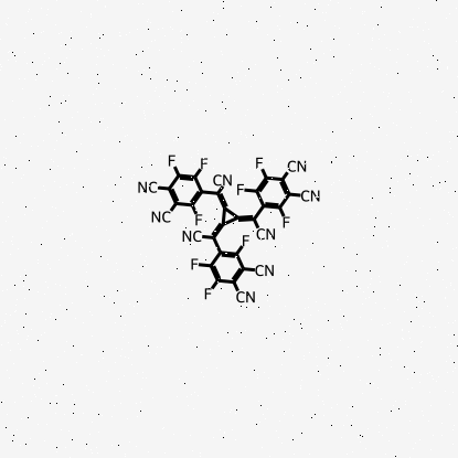 N#CC(=C1C(=C(C#N)c2c(F)c(F)c(C#N)c(C#N)c2F)C1=C(C#N)c1c(F)c(F)c(C#N)c(C#N)c1F)c1c(F)c(F)c(C#N)c(C#N)c1F